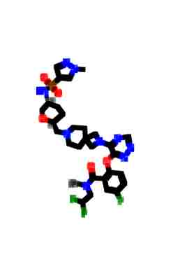 CC(C)N(CC(F)F)C(=O)c1cc(F)ccc1Oc1nncnc1N1CC2(CCN(C[C@@H]3CC[C@@H](NS(=O)(=O)c4cnn(C)c4)CO3)CC2)C1